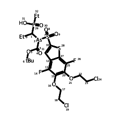 CCC([As](C(=O)OC(C)(C)C)S(=O)(=O)c1cc2c(F)c(OCCCl)c(OCCCl)c(F)c2s1)P(=O)(O)CC